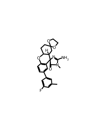 Cc1cc(F)cc(-c2ccc3c(c2)C2(N=C(N)N(C)C2=O)[C@H]2CC4(CCC2O3)OCCO4)c1